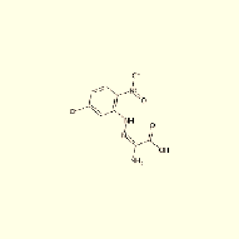 N/C(=N/Nc1cc(Cl)ccc1[N+](=O)[O-])C(=O)O